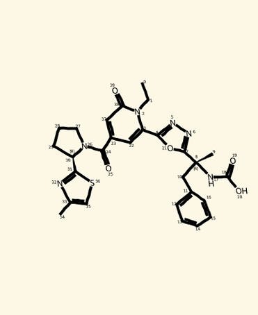 CCn1c(-c2nnc([C@@](C)(Cc3ccccc3)NC(=O)O)o2)cc(C(=O)N2CCC[C@@H]2c2nc(C)cs2)cc1=O